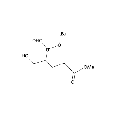 COC(=O)CCC(CO)N(C=O)OC(C)(C)C